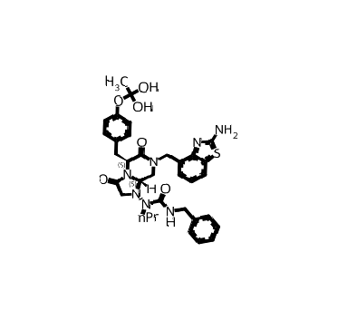 CCCN(C(=O)NCc1ccccc1)N1CC(=O)N2[C@@H](Cc3ccc(OC(C)(O)O)cc3)C(=O)N(Cc3cccc4sc(N)nc34)C[C@@H]21